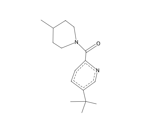 CC1CCN(C(=O)c2ccc(C(C)(C)C)cn2)CC1